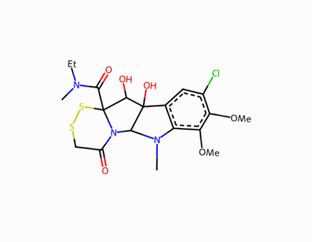 CCN(C)C(=O)C12SSCC(=O)N1C1N(C)c3c(cc(Cl)c(OC)c3OC)C1(O)C2O